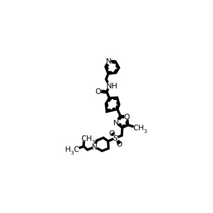 Cc1oc(-c2ccc(C(=O)NCc3cccnc3)cc2)nc1CS(=O)(=O)C1CCN(CC(C)C)CC1